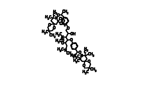 CC(ON1C(C)(C)CC2(CC1(C)C)OCC(C)(C)CO2)c1ccc(OCC(O)C(C(Oc2ccc(C(C)ON3C(C)(C)CC4(CC3(C)C)OCC(C)(C)CO4)cc2)C(O)CN(C)C)N(C)C)cc1